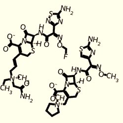 CC[N+](C)(C/C=C/C1=C(C(=O)[O-])N2C(=O)[C@@H](NC(=O)/C(=N\OCF)c3nsc(N)n3)[C@H]2SC1)CC(N)=O.CO/N=C(\C(=O)N[C@@H]1C(=O)N2C(C(=O)[O-])=C(C[N+]3(C)CCCC3)CS[C@H]12)c1csc(N)n1